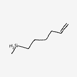 C=CCCCC[SiH2]C